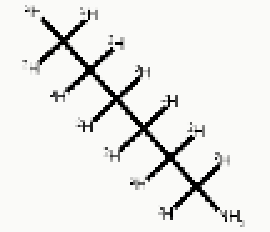 [2H]C([2H])([2H])C([2H])([2H])C([2H])([2H])C([2H])([2H])C([2H])([2H])C([2H])([2H])N